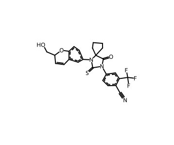 N#Cc1ccc(N2C(=O)C3(CCCC3)N(c3ccc4c(c3)C=CC(CO)O4)C2=S)cc1C(F)(F)F